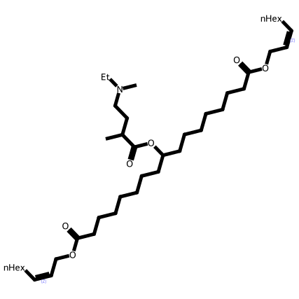 CCCCCC/C=C\COC(=O)CCCCCCCC(CCCCCCCC(=O)OC/C=C\CCCCCC)OC(=O)C(C)CCN(C)CC